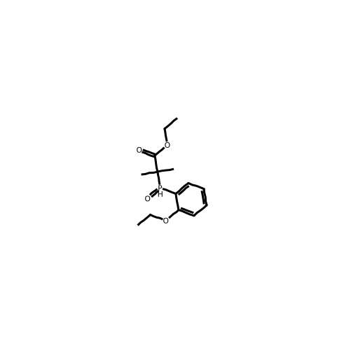 CCOC(=O)C(C)(C)[PH](=O)c1ccccc1OCC